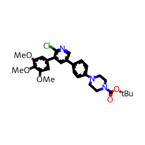 COc1cc(-c2cc(-c3ccc(N4CCN(C(=O)OC(C)(C)C)CC4)cc3)cnc2Cl)cc(OC)c1OC